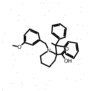 COc1cccc(CN2CCCCC2(C(=O)O)C(C)(c2ccccc2)c2ccccc2)c1